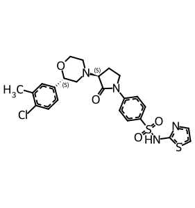 Cc1cc([C@H]2CN([C@H]3CCN(c4ccc(S(=O)(=O)Nc5nccs5)cc4)C3=O)CCO2)ccc1Cl